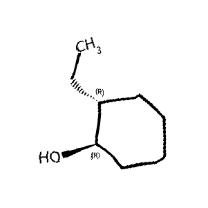 CC[C@@H]1CCCC[C@H]1O